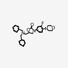 O=C1OC(CN(Cc2ccccc2)Cc2ccccc2)CN1c1ccc(N2CCOCC2)c(F)c1